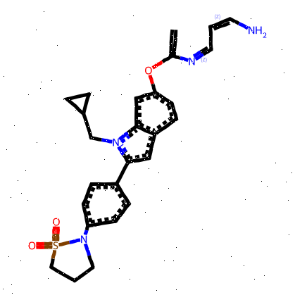 C=C(/N=C\C=C/N)Oc1ccc2cc(-c3ccc(N4CCCS4(=O)=O)cc3)n(CC3CC3)c2c1